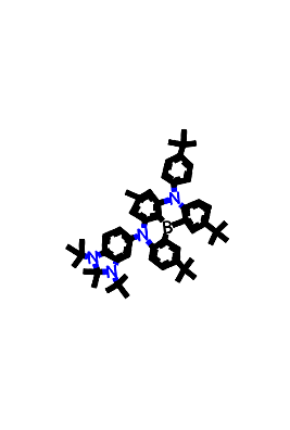 Cc1cc2c3c(c1)N(c1ccc4c(c1)N(C(C)(C)C)C(C)(C)N4C(C)(C)C)c1ccc(C(C)(C)C)cc1B3c1cc(C(C)(C)C)ccc1N2c1ccc(C(C)(C)C)cc1